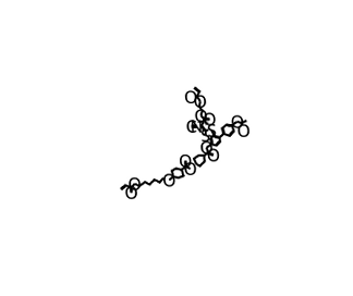 [C-]#[N+]/C(C(=O)OCCOC(=O)C=C)=C1\Sc2c(OC(=O)C3CCC(OC(=O)C4CCC(OCCCCCCOC(=O)C=C)CC4)CC3)ccc(-c3ccc(OC(C)=O)cc3)c2S1